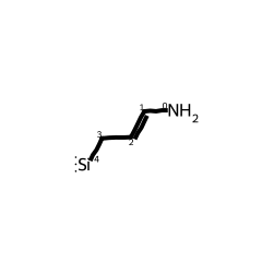 NC=CC[Si]